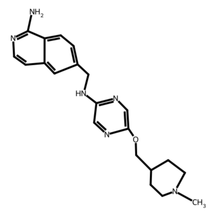 CN1CCC(COc2cnc(NCc3ccc4c(N)nccc4c3)cn2)CC1